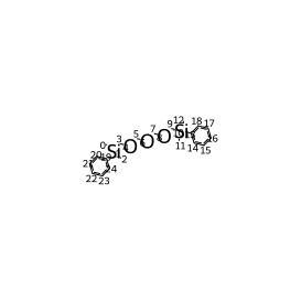 C[Si](C)(COCOCOC[Si](C)(C)c1ccccc1)c1ccccc1